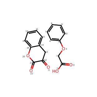 O=C(O)COc1ccccc1.O=C1Cc2ccccc2OC1=O